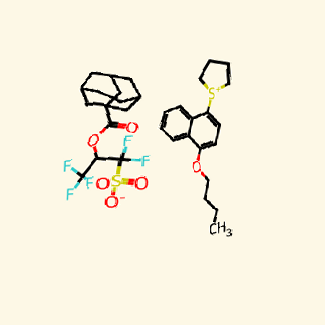 CCCCOc1ccc([S+]2CCCC2)c2ccccc12.O=C(OC(C(F)(F)F)C(F)(F)S(=O)(=O)[O-])C12CC3CC(CC(C3)C1)C2